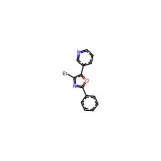 CCc1nc(-c2ccccc2)oc1-c1cccnc1